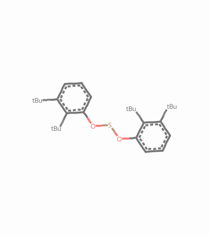 CC(C)(C)c1cccc(OSOc2cccc(C(C)(C)C)c2C(C)(C)C)c1C(C)(C)C